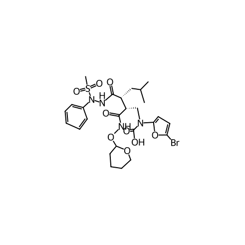 CC(C)C[C@@H](C(=O)NN(c1ccccc1)S(C)(=O)=O)[C@H](CN(C(=O)O)c1ccc(Br)o1)C(=O)NOC1CCCCO1